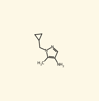 Cc1c(N)cnn1CC1CC1